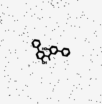 CC(c1cc(-c2ccccc2)ccc1O)c1cc(-c2ccccc2)ccc1O